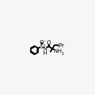 CC(C)CC(C)(N)C(=O)N[S+]([O-])c1ccccc1